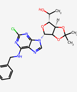 CC(O)[C@H]1O[C@@H](n2cnc3c(NCc4ccccc4)nc(Cl)nc32)C2OC(C)(C)O[C@@H]21